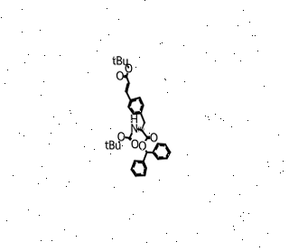 CC(C)(C)OC(=O)C=Cc1ccc(C[C@H](NC(=O)OC(C)(C)C)C(=O)OC(c2ccccc2)c2ccccc2)cc1